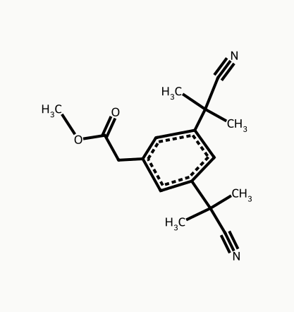 COC(=O)Cc1cc(C(C)(C)C#N)cc(C(C)(C)C#N)c1